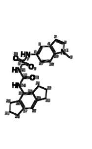 Cn1ccc2cc(NS(=O)(=O)NC(=O)Nc3c4c(cc5c3CCC5)CCC4)ccc21